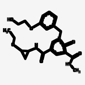 CCOC1CC1NC(=O)c1cc(C(=O)NC)c(=O)n(Cc2cccc(OCCO)c2)c1